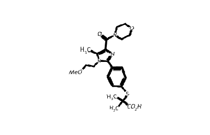 COCCn1c(-c2ccc(SC(C)(C)C(=O)O)cc2)nc(C(=O)N2CCOCC2)c1C